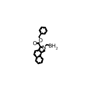 BCn1cc2c(ccc3ccccc32)c1C(=O)OCc1ccccc1